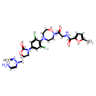 C=NN(/C=C\N)C[C@H]1CN(c2cc(F)c(N3CCON(C(=O)CNC(=O)c4ccc([N+](=O)[O-])o4)CC3)c(F)c2)C(=O)O1